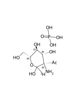 O=P(O)(O)O.[2H]C1(O)O[C@H](CO)[C@@H](O)[C@H](O)[C@]1(N)C(C)=O